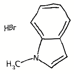 Br.Cn1ccc2ccccc21